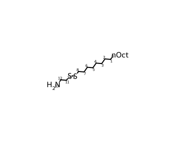 CCCCCCCCCCCCCCCCSSCCN